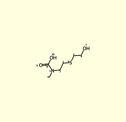 CN(CCSCCO)C(=O)O